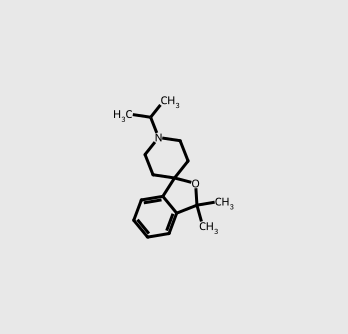 CC(C)N1CCC2(CC1)OC(C)(C)c1ccccc12